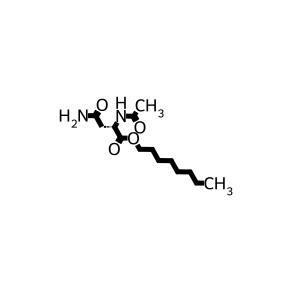 CCCCCCCCOC(=O)[C@H](CC(N)=O)NC(C)=O